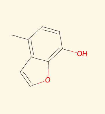 Cc1ccc(O)c2occc12